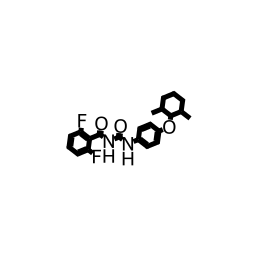 CC1CCCC(C)C1Oc1ccc(NC(=O)NC(=O)c2c(F)cccc2F)cc1